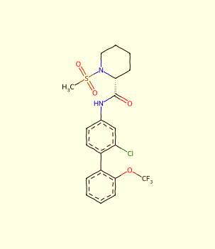 CS(=O)(=O)N1CCCC[C@@H]1C(=O)Nc1ccc(-c2ccccc2OC(F)(F)F)c(Cl)c1